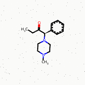 CCC(=O)[C@@H](c1ccccc1)N1CCN(C)CC1